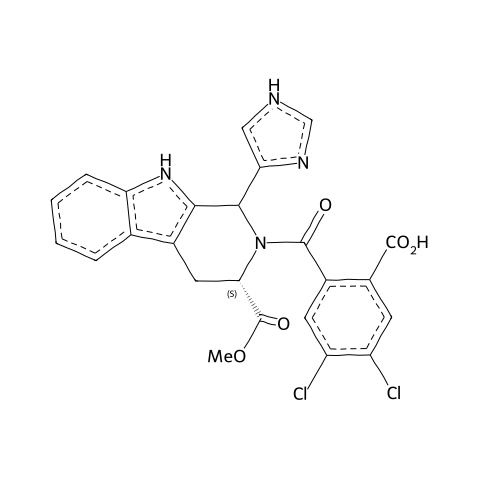 COC(=O)[C@@H]1Cc2c([nH]c3ccccc23)C(c2c[nH]cn2)N1C(=O)c1cc(Cl)c(Cl)cc1C(=O)O